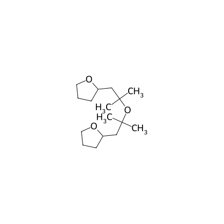 CC(C)(CC1CCCO1)OC(C)(C)CC1CCCO1